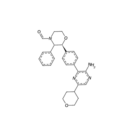 Nc1ncc(C2CCOCC2)nc1-c1ccc([C@@H]2OCCN(C=O)C2c2ccccc2)cc1